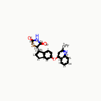 CCCc1cc(Oc2ccc3c(c2)CC[C@H]3C2SC(=O)NC2=O)c2ccccc2n1